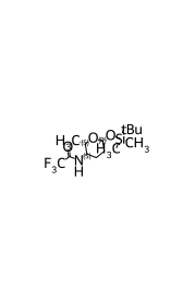 C[C@@H]1O[C@H](O[Si](C)(C)C(C)(C)C)CC[C@@H]1NC(=O)C(F)(F)F